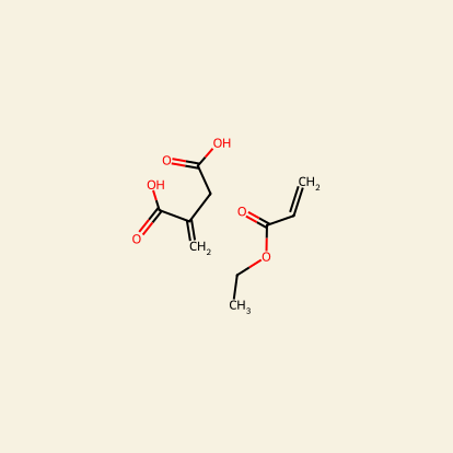 C=C(CC(=O)O)C(=O)O.C=CC(=O)OCC